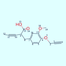 C#CCOc1ccc(CC(C#CC)C(=O)O)cc1OC